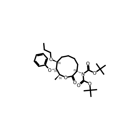 CCCO[C@H]1CCCC[C@H](N(C(=O)OC(C)(C)C)C(=O)OC(C)(C)C)C(=O)O[C@@H](C)[C@@H]1Oc1ccccc1